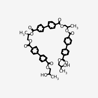 CC(O)COC(=O)c1ccc(-c2ccc(C(=O)OCC(C)OC(=O)c3ccc(-c4ccc(C(=O)OCC(C)OC(=O)c5ccc(-c6ccc(C(=O)OCC(C)O)cc6)cc5)cc4)cc3)cc2)cc1